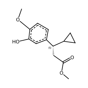 COC(=O)C[C@H](c1ccc(OC)c(O)c1)C1CC1